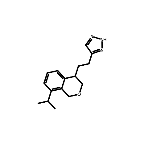 CC(C)c1cccc2c1COCC2CCc1cn[nH]n1